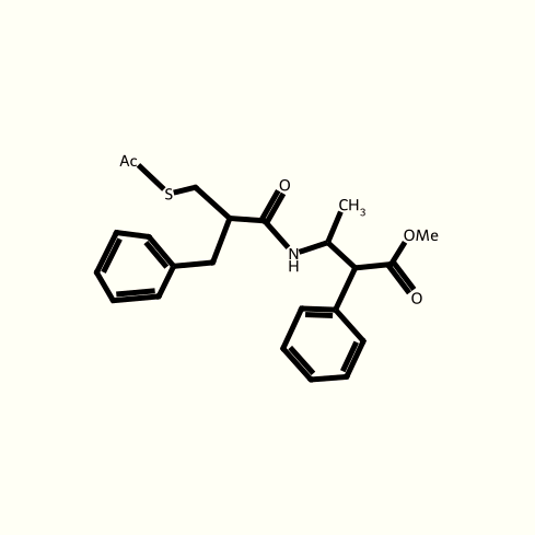 COC(=O)C(c1ccccc1)C(C)NC(=O)C(CSC(C)=O)Cc1ccccc1